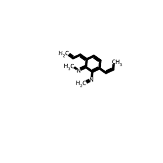 C=C/C=C1C=CC(/C=C\C)=C(N=C)C/1=N/C